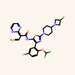 C=C/C(C(=O)Nc1sc(N2CCC(N3CC(F)C3)CC2)nc1-c1cc(Cl)ccc1OC(F)F)=C1/N=CC=CN1